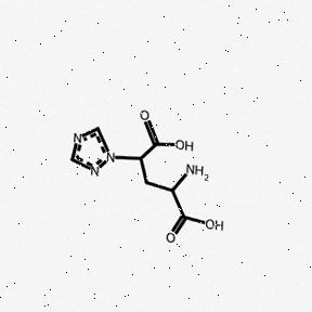 NC(CC(C(=O)O)n1cncn1)C(=O)O